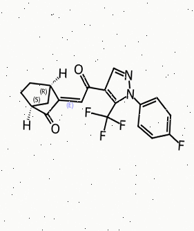 O=C(/C=C1/C(=O)[C@H]2CC[C@@H]1C2)c1cnn(-c2ccc(F)cc2)c1C(F)(F)F